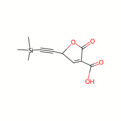 C[Si](C)(C)C#CC1C=C(C(=O)O)C(=O)O1